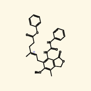 COc1c(C)c2c(c(NC(=O)Nc3ccccc3)c1C/C=C(\C)CCC(=O)Oc1ccccc1)C(=O)OC2